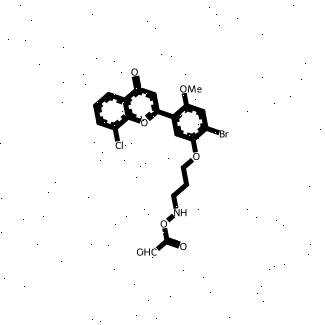 COc1cc(Br)c(OCCCNOC(=O)C=O)cc1-c1cc(=O)c2cccc(Cl)c2o1